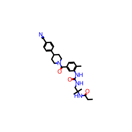 CCC(=O)NC(C)(C)CNC(=O)Nc1cc(C(=O)N2CCC(c3ccc(C#N)cc3)CC2)ccc1C